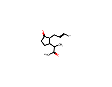 CCC=CCC1C(=O)CCC1C(C)C(=O)OC